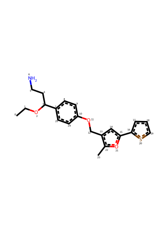 CCOC(CCN)c1ccc(OCc2cc(-c3cccs3)oc2C)cc1